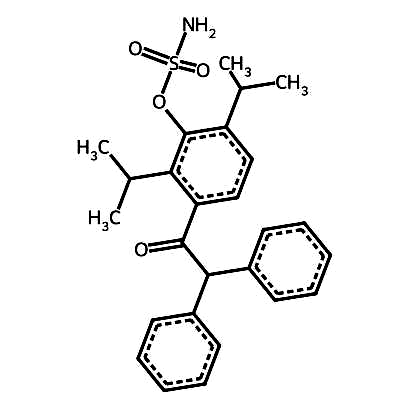 CC(C)c1ccc(C(=O)C(c2ccccc2)c2ccccc2)c(C(C)C)c1OS(N)(=O)=O